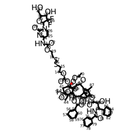 CC(=O)O[C@H]1C(=O)[C@]2(C)[C@@H](OC(=O)OCCSSCCOC(=O)Nc3ccn(C4OC(CO)C(O)C4(F)F)c(=O)n3)C[C@H]3OC[C@@]3(OC(C)=O)[C@H]2[C@H](OC(=O)c2ccccc2)[C@]2(O)C[C@H](OC(=O)[C@H](O)[C@@H](NC(=O)c3ccccc3)c3ccccc3)C(C)=C1C2(C)C